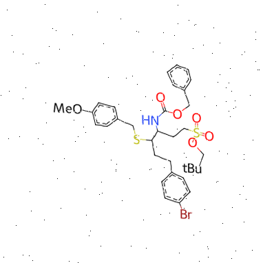 COc1ccc(CSC(CCc2ccc(Br)cc2)C(CCS(=O)(=O)OCC(C)(C)C)NC(=O)OCc2ccccc2)cc1